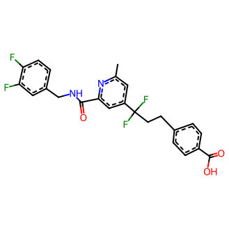 Cc1cc(C(F)(F)CCc2ccc(C(=O)O)cc2)cc(C(=O)NCc2ccc(F)c(F)c2)n1